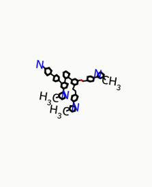 Cc1ccnc(-c2ccc(CCc3cc(CCc4ccc(-c5cc(C)ccn5)cc4)cc(-c4ccccc4-c4ccc(-c5cc(C)ccn5)cc4-c4ccc(-c5ccc(C#N)cc5)cc4)c3)cc2)c1